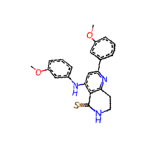 COc1cccc(Nc2cc(-c3cccc(OC)c3)nc3c2C(=S)NCC3)c1